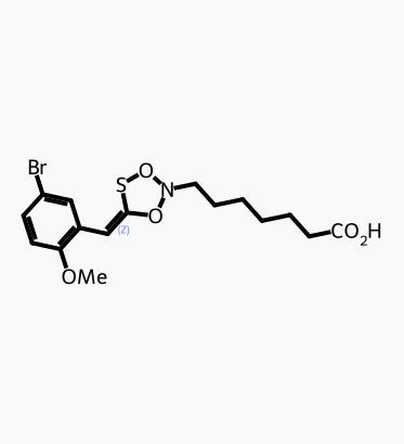 COc1ccc(Br)cc1/C=C1/ON(CCCCCCC(=O)O)OS1